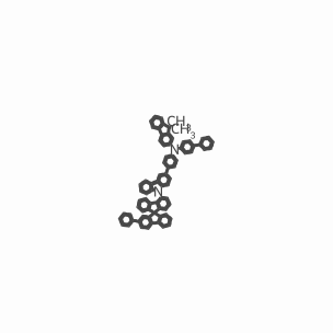 CC1(C)c2ccccc2-c2ccc(N(c3ccc(-c4ccccc4)cc3)c3ccc(-c4ccc5c(c4)c4ccccc4n5-c4cccc5c4-c4ccccc4C54c5ccccc5-c5ccc(-c6ccccc6)cc54)cc3)cc21